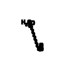 CC(=O)OCCCCCCCCCCCCC1CCOC1=O